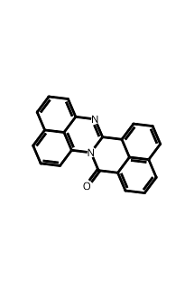 O=c1c2cccc3cccc(c32)c2nc3cccc4cccc(c43)n12